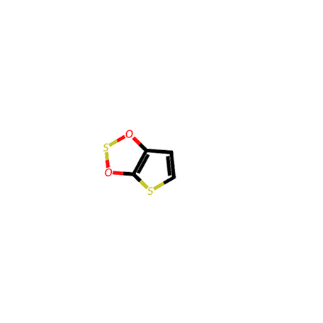 c1cc2c(s1)OSO2